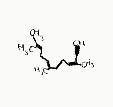 C#CC(C)=CC=CC(C)=CCC=C(C)C